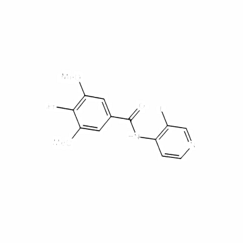 COc1cc(C(=O)Nc2ccncc2I)cc(OC)c1C(C)C